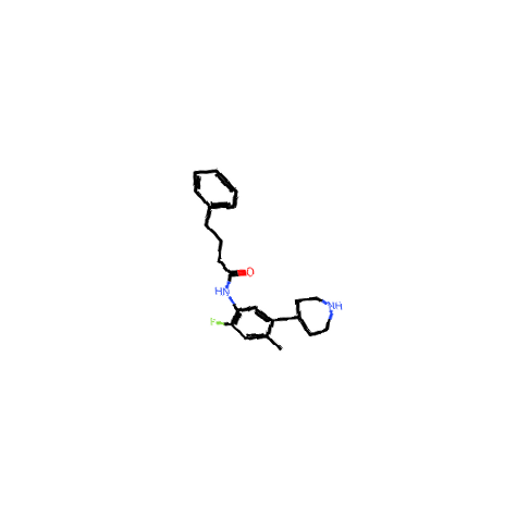 Cc1cc(F)c(NC(=O)CCCc2ccccc2)cc1C1CCNCC1